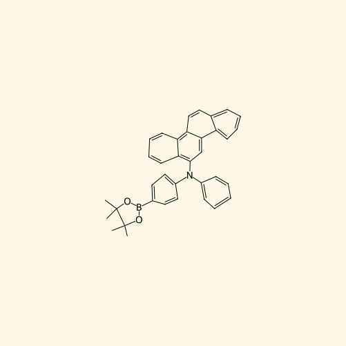 CC1(C)OB(c2ccc(N(c3ccccc3)c3cc4c5ccccc5ccc4c4ccccc34)cc2)OC1(C)C